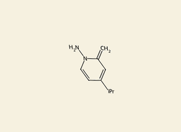 C=C1C=C(C(C)C)C=CN1N